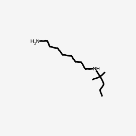 CCCC(C)(C)NCCCCCCCCN